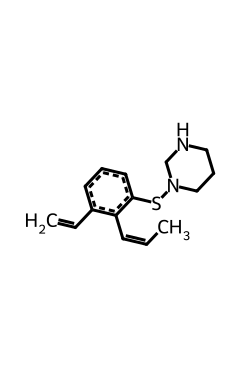 C=Cc1cccc(SN2CCCNC2)c1/C=C\C